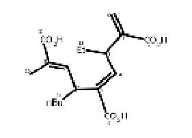 C=C(C(=O)O)C(C=C(C(=O)O)C(C=C(C)C(=O)O)CCCC)CC